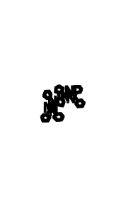 c1ccc(-c2nc(-n3c4ccccc4c4c3ccc3c5c(nc(-c6ccccc6)n5-c5ccccc5)n(-c5ccccc5)c34)nc3ccccc23)cc1